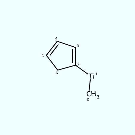 [CH3][Ti][C]1=CC=CC1